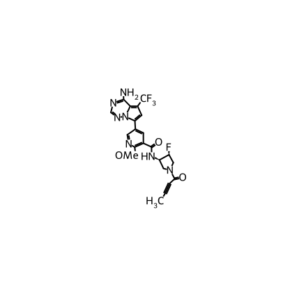 CC#CC(=O)N1C[C@H](F)[C@H](NC(=O)c2cc(-c3cc(C(F)(F)F)c4c(N)ncnn34)cnc2OC)C1